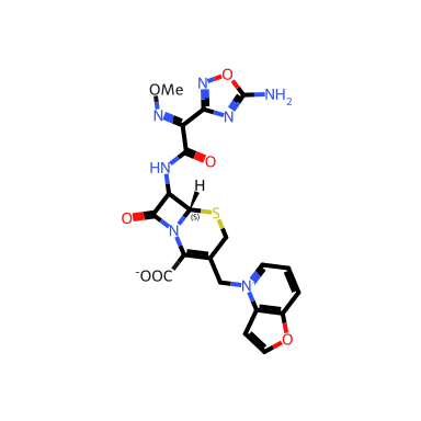 CON=C(C(=O)NC1C(=O)N2C(C(=O)[O-])=C(C[n+]3cccc4occc43)CS[C@@H]12)c1noc(N)n1